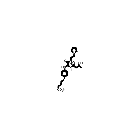 CC(O)CC(=O)NC(Nc1ccc(OCCCC(=O)O)cc1)C(=O)NCCN1CCCC1